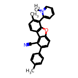 Cc1ccc(-c2ccc3oc4c(-c5cccc[n+]5C)c(C)ccc4c3c2C#N)cc1